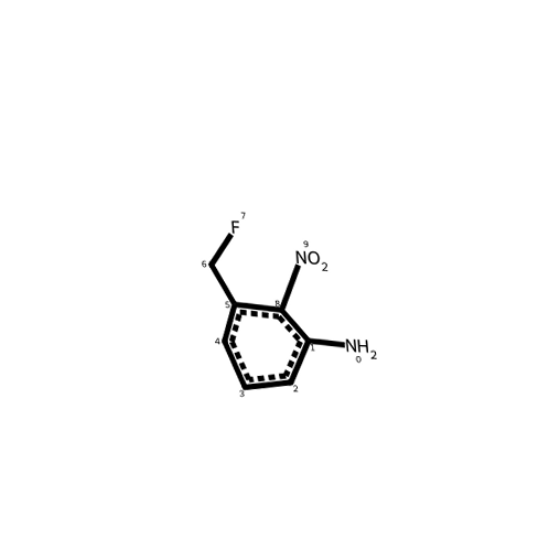 Nc1cccc(CF)c1[N+](=O)[O-]